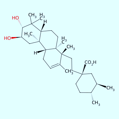 CC1=CC[C@@H]2[C@@]3(C)C[C@@H](O)[C@H](O)C(C)(C)[C@@H]3CC[C@@]2(C)[C@]1(C)CC[C@@]1(C(=O)O)CC[C@@H](C)[C@H](C)C1